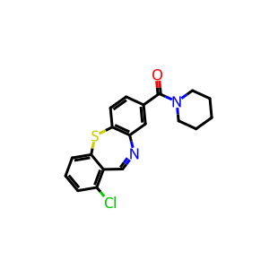 O=C(c1ccc2c(c1)N=Cc1c(Cl)cccc1S2)N1CCCCC1